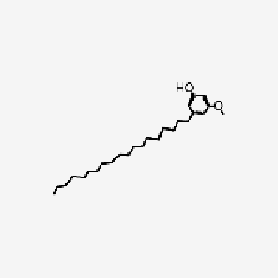 CCCCCCCCCCCCCCCCCCCc1cc(O)cc(OC)c1